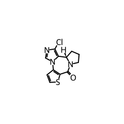 O=C1c2sccc2-n2cnc(Cl)c2[C@@H]2CCCN12